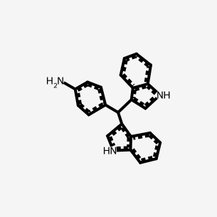 Nc1ccc(C(c2c[nH]c3ccccc23)c2c[nH]c3ccccc23)cc1